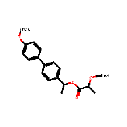 CCCCCCCOC(C)C(=O)OC(C)c1ccc(-c2ccc(OCCCCC)cc2)cc1